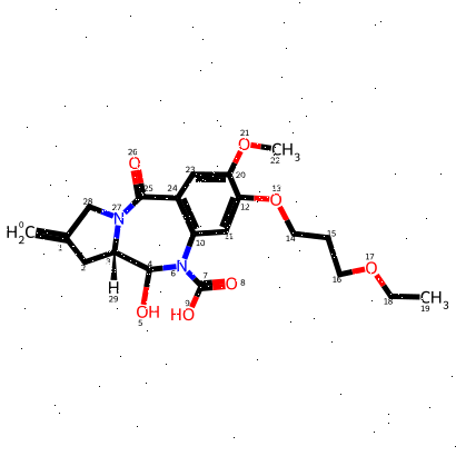 C=C1C[C@H]2C(O)N(C(=O)O)c3cc(OCCCOCC)c(OC)cc3C(=O)N2C1